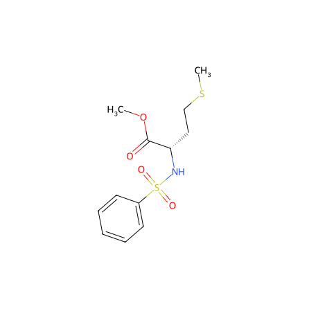 COC(=O)[C@H](CCSC)NS(=O)(=O)c1ccccc1